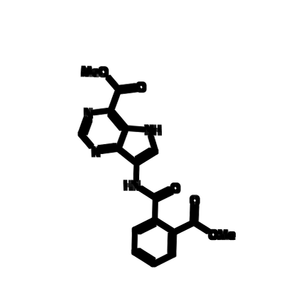 COC(=O)c1ccccc1C(=O)Nc1c[nH]c2c(C(=O)OC)ncnc12